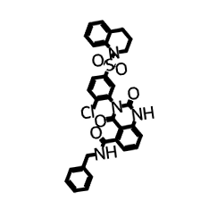 O=C(NCc1ccccc1)c1cccc2[nH]c(=O)n(-c3cc(S(=O)(=O)N4CCCc5ccccc54)ccc3Cl)c(=O)c12